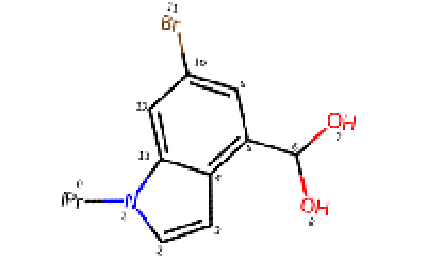 CC(C)n1ccc2c(C(O)O)cc(Br)cc21